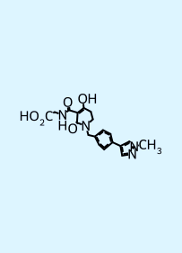 Cn1cc(-c2ccc(CN3CCC(O)=C(C(=O)NCC(=O)O)C3=O)cc2)cn1